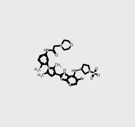 CCS(=O)(=O)N1CC[C@H](Nc2c(Br)cnc3nc(-c4cc(C)n(-c5cc(NC(=O)CN6CCOCC6)ccc5C)c4C)[nH]c23)C1